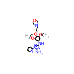 COc1cc(Nc2nc(N)n(-c3ccccn3)n2)cc(OC)c1OCCCN1CCOCC1